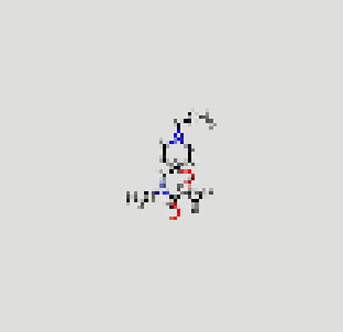 CCN1CCC2(CC1)CN(C)C(=O)C1(CC1)O2